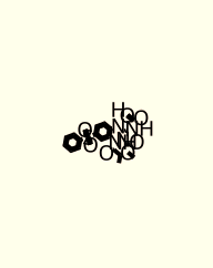 CCC(=O)Nc1cc(S(=O)(=O)c2ccccc2)ccc1NC(=NC(=O)OC)NC(=O)OC